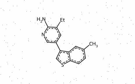 CCc1cc(-c2csc3ccc(C)cc23)cnc1N